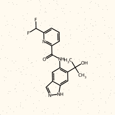 CC(C)(O)c1cc2[nH]ncc2cc1NC(=O)c1cccc(C(F)F)n1